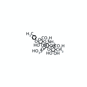 Cc1ccc(O[C@@H]2OC(C(=O)O)[C@@H](O[C@H]3OC(COS(=O)(=O)O)[C@@H](O[C@@H]4OC(C(=O)O)[C@@H](C)[C@@H](O)C4O)[C@H](O)C3N)[C@H](O)C2O)cc1